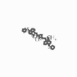 Cn1/c(=C/C=C2\CCC(/C=C/C3=[N+](C)c4ccc(Sc5ccccc5)c5cccc3c45)=C2Cl)c2cccc3c(Sc4ccccc4)ccc1c32